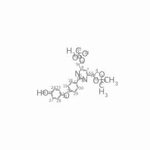 CC1(C)OC[C@H](c2cc(COS(C)(=O)=O)nc(-c3ccc(Oc4ccc(O)cc4)cc3)n2)O1